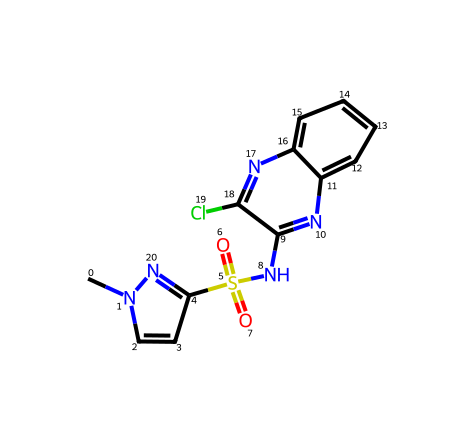 Cn1ccc(S(=O)(=O)Nc2nc3ccccc3nc2Cl)n1